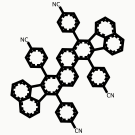 N#Cc1ccc(-c2c3c(c(-c4ccc(C#N)cc4)c4c2ccc2c4ccc4c(-c5ccc(C#N)cc5)c5c(c(-c6ccc(C#N)cc6)c42)-c2cccc4cccc-5c24)-c2cccc4cccc-3c24)cc1